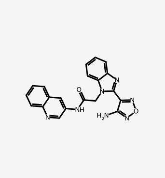 Nc1nonc1-c1nc2ccccc2n1CC(=O)Nc1cnc2ccccc2c1